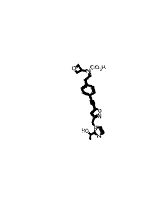 CC(O)c1nccn1Cc1cc(C#Cc2ccc(CCN(C(=O)O)C3COC3)cc2)on1